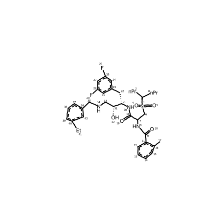 CCCC(CCC)S(=O)(=O)CC(NC(=O)c1ccccc1C)C(=O)N[C@@H](Cc1cc(F)cc(F)c1)[C@H](O)CNCc1cccc(CC)c1